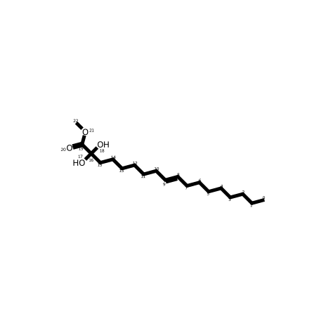 CCCCCCCCC=CCCCCCCC(O)(O)C(=O)OC